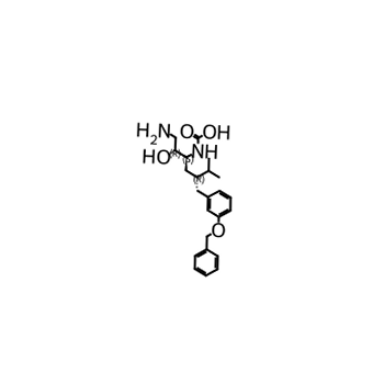 CC(C)[C@H](Cc1cccc(OCc2ccccc2)c1)C[C@H](NC(=O)O)[C@H](O)CN